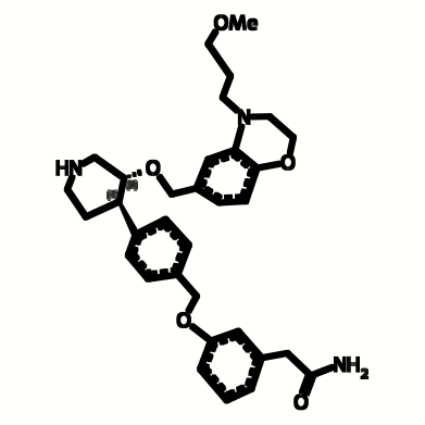 COCCCN1CCOc2ccc(CO[C@H]3CNCC[C@@H]3c3ccc(COc4cccc(CC(N)=O)c4)cc3)cc21